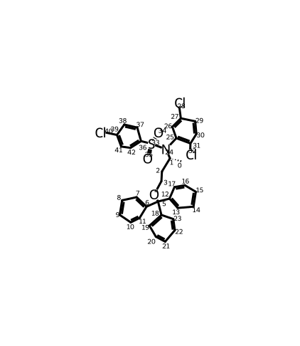 C[C@H](CCOC(c1ccccc1)(c1ccccc1)c1ccccc1)N(c1cc(Cl)ccc1Cl)S(=O)(=O)c1ccc(Cl)cc1